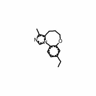 CCc1ccc2c(c1)OCCCc1c(C)ncn1-2